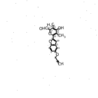 C#CCOc1ccc2oc(C3=C(C)C(O)=C(C)C(C=O)O3)cc2c1